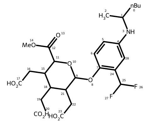 CCCCC(C)Nc1ccc(OC2OC(C(=O)OC)C(CC(=O)O)C(CC(=O)O)C2CC(=O)O)c(C(F)F)c1